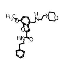 COc1ccc(CNCCN2CCOCC2)c2cc(C(=O)NCCc3ccccc3)oc12